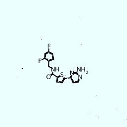 Nc1nccc(-c2ccc(C(=O)NCc3ccc(F)cc3F)s2)n1